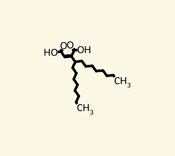 CCCCCCCCC(CCCCCCCC)/C(=C/C(=O)O)C(=O)O